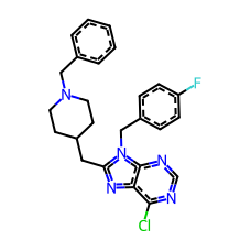 Fc1ccc(Cn2c(CC3CCN(Cc4ccccc4)CC3)nc3c(Cl)ncnc32)cc1